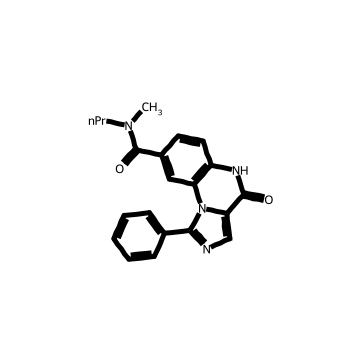 CCCN(C)C(=O)c1ccc2[nH]c(=O)c3cnc(-c4ccccc4)n3c2c1